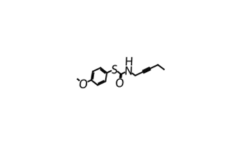 CCC#CCNC(=O)Sc1ccc(OC)cc1